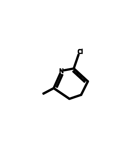 CC1=NC(Cl)=CCC1